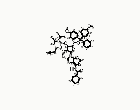 COc1ccc(C(OC[C@H]2O[C@@H](n3cnc4c(NC(=O)c5ccccc5)ncnc43)C(OC)C2OP(OCCC#N)N(C(C)C)C(C)C)(c2ccccc2)c2ccc(OC)cc2)cc1